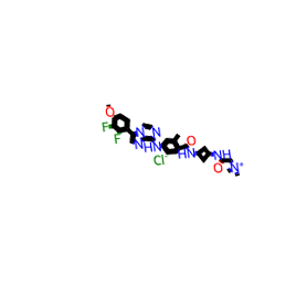 COc1ccc(-c2cnc3c(Nc4ccc(C(=O)NC5CC(NC(=O)C[N+](C)(C)C)C5)c(C)c4)nccn23)c(F)c1F.[Cl-]